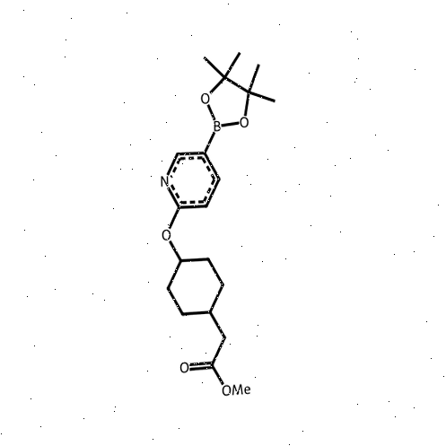 COC(=O)CC1CCC(Oc2ccc(B3OC(C)(C)C(C)(C)O3)cn2)CC1